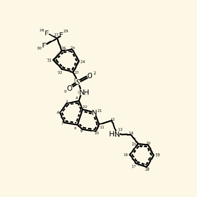 O=S(=O)(Nc1cccc2ccc(CNCc3ccccc3)nc12)c1ccc(C(F)(F)F)cc1